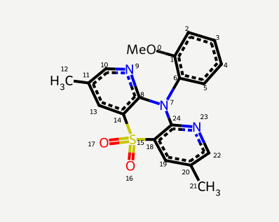 COc1ccccc1N1c2ncc(C)cc2S(=O)(=O)c2cc(C)cnc21